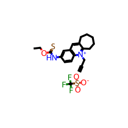 C#CC[n+]1c2c(cc3cc(NC(=S)OCC)ccc31)CCCCC2.O=S(=O)([O-])C(F)(F)F